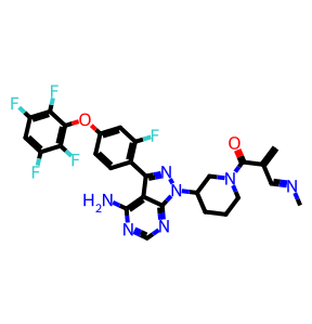 C=C(/C=N/C)C(=O)N1CCCC(n2nc(-c3ccc(Oc4c(F)c(F)cc(F)c4F)cc3F)c3c(N)ncnc32)C1